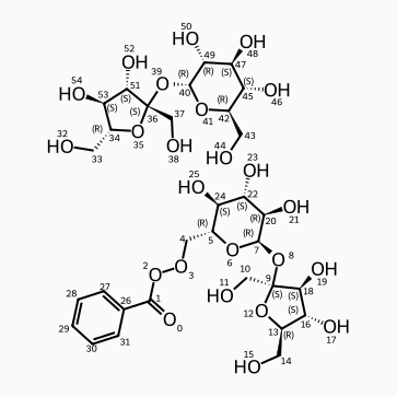 O=C(OOC[C@H]1O[C@H](O[C@]2(CO)O[C@H](CO)[C@@H](O)[C@@H]2O)[C@H](O)[C@@H](O)[C@@H]1O)c1ccccc1.OC[C@H]1O[C@@](CO)(O[C@H]2O[C@H](CO)[C@@H](O)[C@H](O)[C@H]2O)[C@@H](O)[C@@H]1O